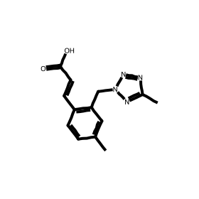 Cc1ccc(/C=C/C(=O)O)c(Cn2nnc(C)n2)c1